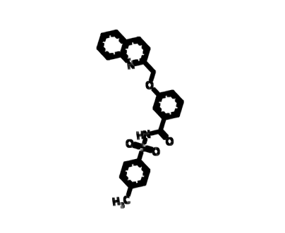 Cc1ccc(S(=O)(=O)NC(=O)c2cccc(OCc3ccc4ccccc4n3)c2)cc1